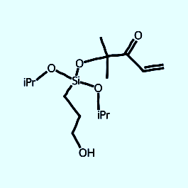 C=CC(=O)C(C)(C)O[Si](CCCO)(OC(C)C)OC(C)C